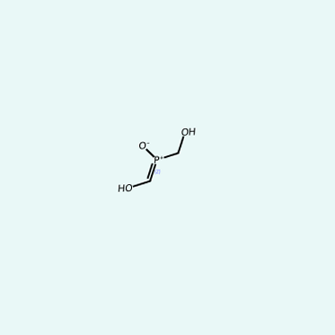 [O-]/[P+](=C\O)CO